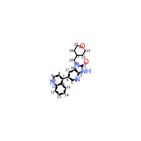 O=c1[nH]c2ncc(-c3ccnc4ccccc34)cc2n1CC1CCOCC1